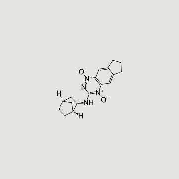 [O-][n+]1nc(N[C@@H]2C[C@@H]3CC[C@@H]2C3)[n+]([O-])c2cc3c(cc21)CCC3